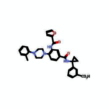 Cc1ccccc1N1CCN(c2ccc(C(=O)NC3(c4cccc(C(=O)O)c4)CC3)cc2NC(=O)c2ccco2)CC1